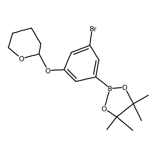 CC1(C)OB(c2cc(Br)cc(OC3CCCCO3)c2)OC1(C)C